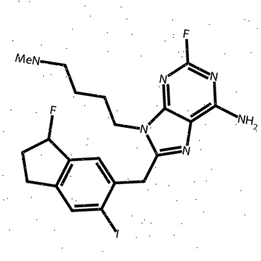 CNCCCCn1c(Cc2cc3c(cc2I)CCC3F)nc2c(N)nc(F)nc21